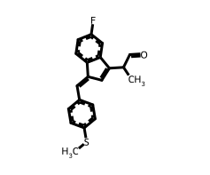 CSc1ccc(C=C2C=C(C(C)C=O)c3cc(F)ccc32)cc1